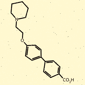 O=C(O)c1ccc(-c2ccc(OCCN3CCCCC3)cc2)cc1